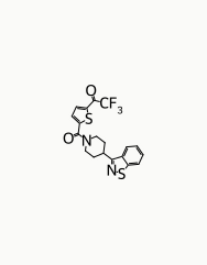 O=C(c1ccc(C(=O)C(F)(F)F)s1)N1CCC(c2nsc3ccccc23)CC1